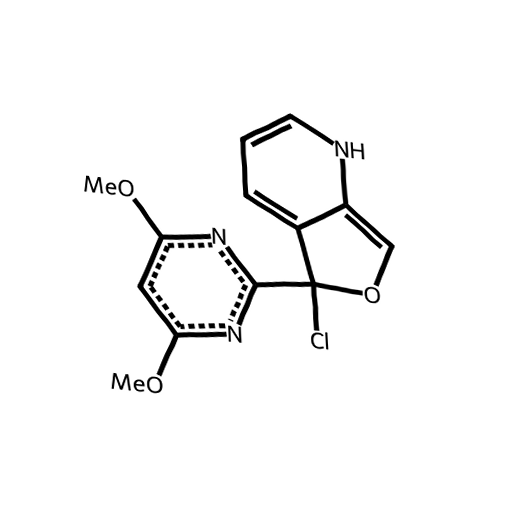 COc1cc(OC)nc(C2(Cl)OC=C3NC=CC=C32)n1